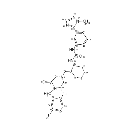 CN1C(=O)CN(C[C@@H]2CCCC[C@H]2NC(=O)Nc2cccc(-c3nnnn3C)c2)C[C@@H]1Cc1ccc(F)cc1